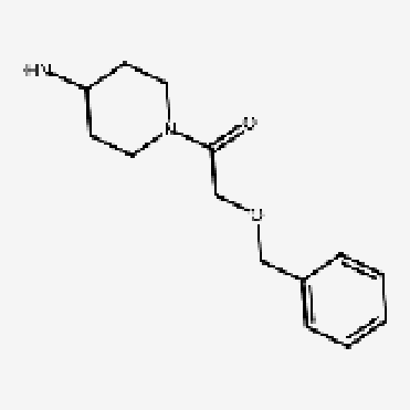 [NH]C1CCN(C(=O)COCc2ccccc2)CC1